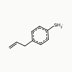 C=CCc1ccc([SiH2])cc1